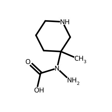 CC1(N(N)C(=O)O)CCCNC1